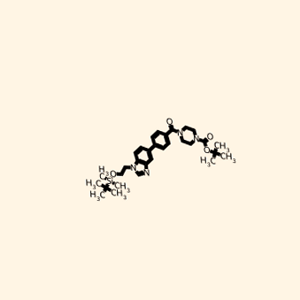 CC(C)(C)OC(=O)N1CCN(C(=O)c2ccc(-c3ccc4c(c3)ncn4CCO[Si](C)(C)C(C)(C)C)cc2)CC1